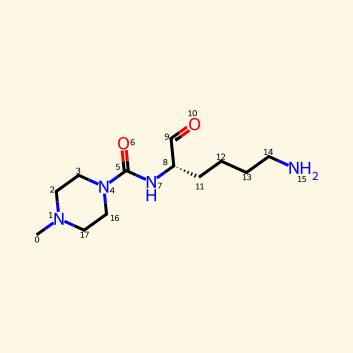 CN1CCN(C(=O)N[C@H]([C]=O)CCCCN)CC1